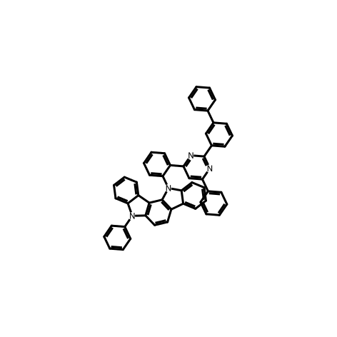 c1ccc(-c2cccc(-c3nc(-c4ccccc4)cc(-c4ccccc4-n4c5ccccc5c5ccc6c(c7ccccc7n6-c6ccccc6)c54)n3)c2)cc1